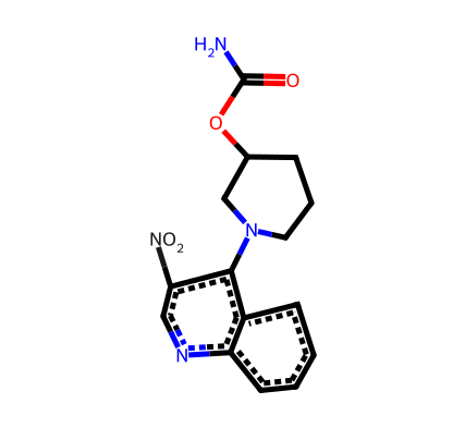 NC(=O)OC1CCCN(c2c([N+](=O)[O-])cnc3ccccc23)C1